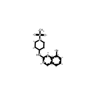 CS(=O)(=O)N1CCC(Nc2ncc3cccc(Br)c3n2)CC1